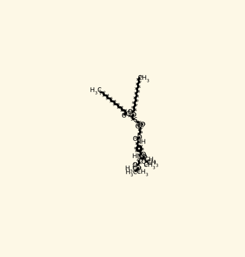 CCCCCCCCCCCCCCCC(=O)OC[C@H](CSCCS(=O)(=O)CCCCOC(=O)NCc1ccc(C(=O)N[C@@H](CCC(=O)OC(C)(C)C)C(=O)OC(C)(C)C)cc1)OC(=O)CCCCCCCCCCCCCCC